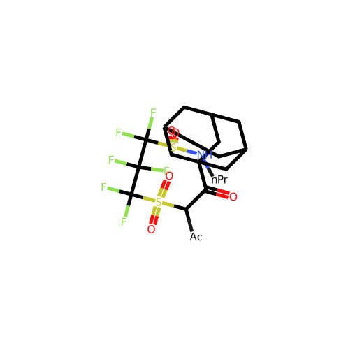 CCCNS(=O)(=O)C(F)(F)C(F)(F)C(F)(F)S(=O)(=O)C(C(C)=O)C(=O)C12CC3CC(CC(C3)C1)C2